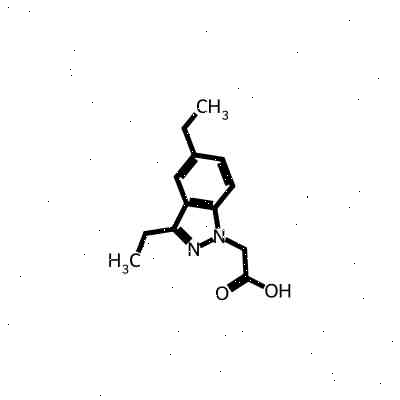 CCc1ccc2c(c1)c(CC)nn2CC(=O)O